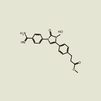 COC(=O)CCc1ccc(-c2cn(-c3ccc(C(=N)N)cc3)c(=O)n2C)cc1.Cl